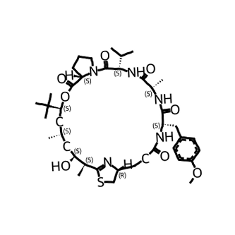 COc1ccc(C[C@@H]2NC(=O)CC[C@@H]3CSC(=N3)[C@@H](C)[C@@H](O)C[C@H](C)C[C@@H](C(C)(C)C)OC(=O)[C@@H]3CCCN3C(=O)[C@H](C(C)C)NC(=O)[C@H](C)NC2=O)cc1